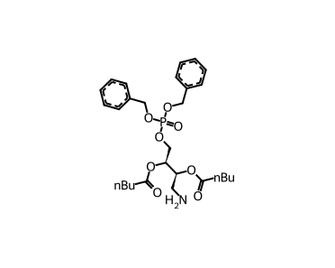 CCCCC(=O)O[C@@H](CN)[C@H](COP(=O)(OCc1ccccc1)OCc1ccccc1)OC(=O)CCCC